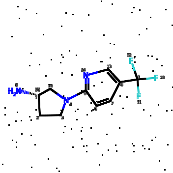 N[C@H]1CCN(c2ccc(C(F)(F)F)cn2)C1